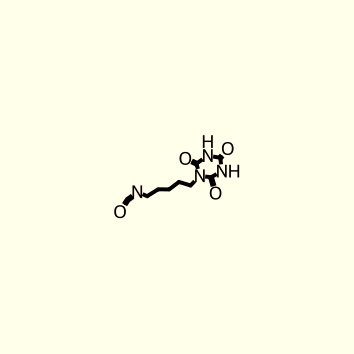 O=C=NCCCCCn1c(=O)[nH]c(=O)[nH]c1=O